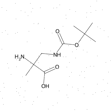 CC(C)(C)OC(=O)NCC(C)(N)C(=O)O